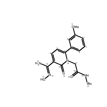 COc1cccc(-c2ccc(/C(N)=N/O)c(=O)n2CC(=O)NC(C)(C)C)c1